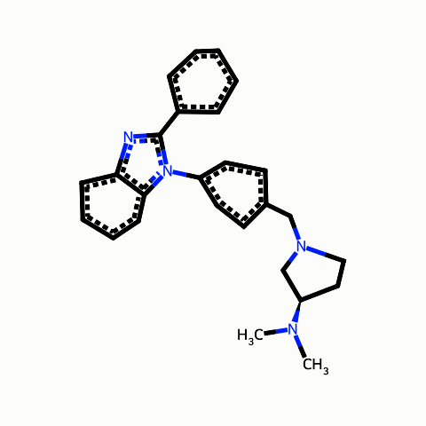 CN(C)[C@@H]1CCN(Cc2ccc(-n3c(-c4ccccc4)nc4ccccc43)cc2)C1